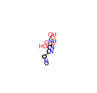 Cn1c(=O)c(C(=O)NCC(=O)O)c(O)c2cc(-c3cccc(N4CCCC4)c3)cnc21